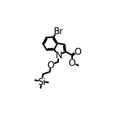 COC(=O)c1cc2c(Br)cccc2n1COCC[Si](C)(C)C